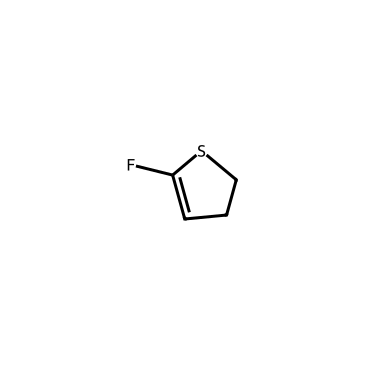 FC1=CCCS1